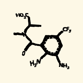 CC(C(=O)O)N(C)C(=O)c1cc(C(F)(F)F)cc(N)c1N